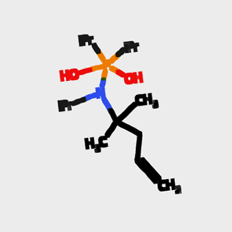 C=CCC(C)(C)N(C(C)C)P(O)(O)(C(C)C)C(C)C